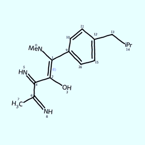 CN/C(=C(/O)C(=N)C(C)=N)c1ccc(CC(C)C)cc1